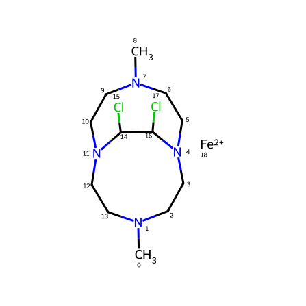 CN1CCN2CCN(C)CCN(CC1)C(Cl)C2Cl.[Fe+2]